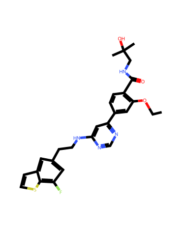 CCOc1cc(-c2cc(NCCc3cc(F)c4sccc4c3)ncn2)ccc1C(=O)NCC(C)(C)O